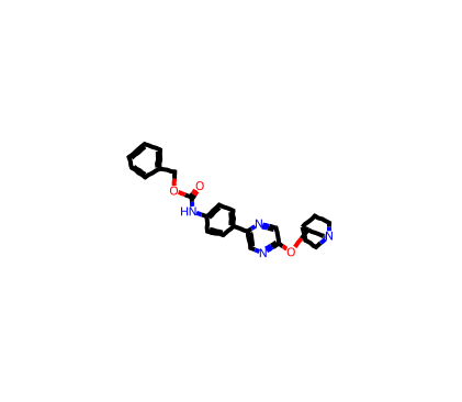 O=C(Nc1ccc(-c2cnc(OC3CN4CCC3CC4)cn2)cc1)OCc1ccccc1